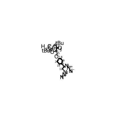 CC(C)(C)OC(=O)[C@@H](COc1ccc(C(CN=[N+]=[N-])N=[N+]=[N-])cc1)O[Si](C)(C)C(C)(C)C